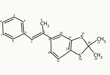 C/C(=C\c1ccccc1)c1ccc2c(c1)SC(C)(C)S2